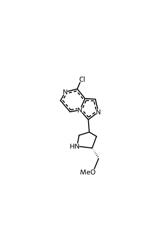 COC[C@H]1CC(c2ncc3c(Cl)nccn23)CN1